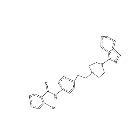 O=C(Nc1ccc(CCN2CCN(c3nsc4ccccc34)CC2)cc1)c1ccccc1Br